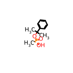 CC(C)(OP(C)(=O)O)c1ccccc1